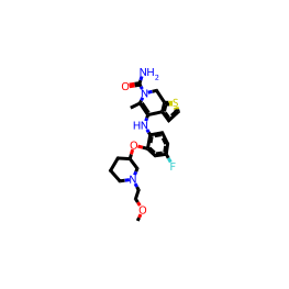 COCCN1CCCC(Oc2cc(F)ccc2NC2=C(C)N(C(N)=O)Cc3sccc32)C1